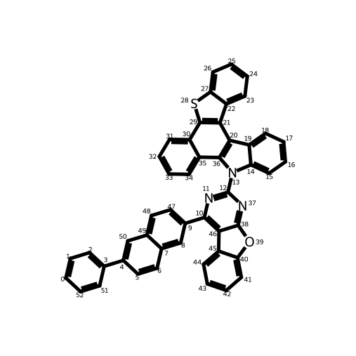 c1ccc(-c2ccc3cc(-c4nc(-n5c6ccccc6c6c7c8ccccc8sc7c7ccccc7c65)nc5oc6ccccc6c45)ccc3c2)cc1